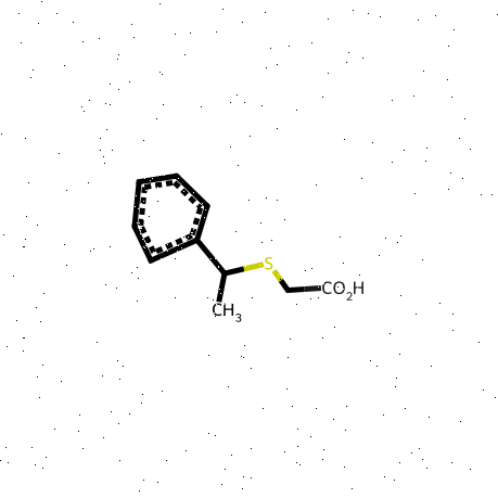 CC(SCC(=O)O)c1ccccc1